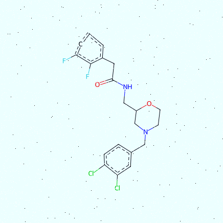 O=C(Cc1cccc(F)c1F)NCC1CN(Cc2ccc(Cl)c(Cl)c2)CCO1